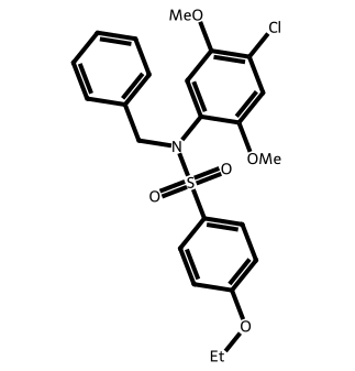 CCOc1ccc(S(=O)(=O)N(Cc2ccccc2)c2cc(OC)c(Cl)cc2OC)cc1